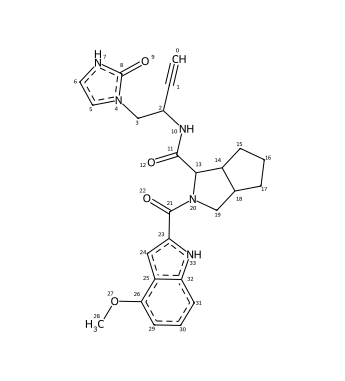 C#CC(Cn1cc[nH]c1=O)NC(=O)C1C2CCCC2CN1C(=O)c1cc2c(OC)cccc2[nH]1